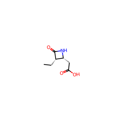 CC[C@@H]1C(=O)N[C@@H]1CC(=O)O